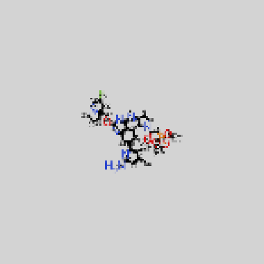 CCOP(=O)(CC(=O)N1CC[C@@H](N(C)c2nc(OC[C@@]34CCCN3C[C@H](F)C4)nc3c2C[C@H](C)[C@@H](c2nc(N)cc(C)c2C(F)(F)F)C3)C1)OCC